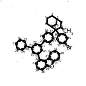 CC1CC2CCCC(C2)C1(c1ccc(Br)cc1)c1ccc(-c2cc(-c3ccccc3)cc(-c3cccc4oc5ccccc5c34)c2)cc1